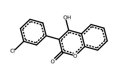 O=c1oc2ccccc2c(O)c1-c1cccc(Cl)c1